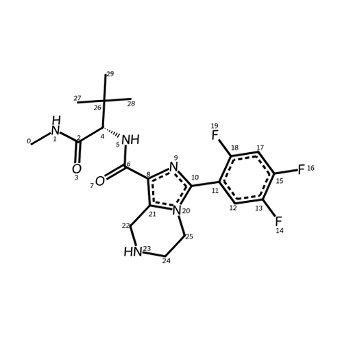 CNC(=O)[C@@H](NC(=O)c1nc(-c2cc(F)c(F)cc2F)n2c1CNCC2)C(C)(C)C